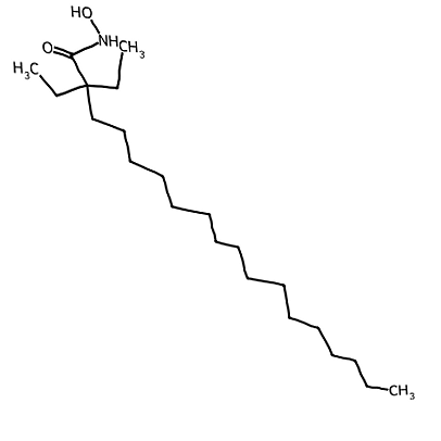 CCCCCCCCCCCCCCCCC(CC)(CC)C(=O)NO